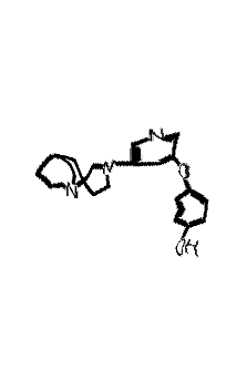 Oc1ccc(Oc2cncc(N3CCC4(CC5CCN4CC5)C3)c2)cc1